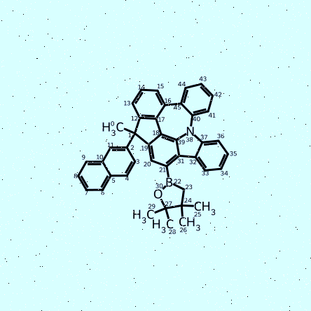 CC1(c2ccc3ccccc3c2)c2cccc3c2-c2c1cc(B1CC(C)(C)C(C)(C)O1)c1c4ccccc4n(c21)-c1ccccc1-3